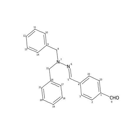 O=Cc1ccc(/C=N/N(Cc2ccccc2)Cc2ccccc2)cc1